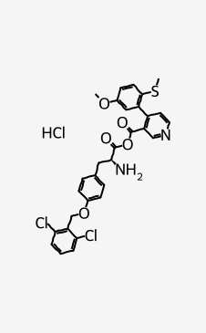 COc1ccc(SC)c(-c2ccncc2C(=O)OC(=O)[C@@H](N)Cc2ccc(OCc3c(Cl)cccc3Cl)cc2)c1.Cl